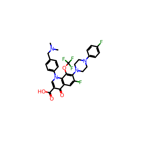 CN(C)Cc1ccc(-n2cc(C(=O)O)c(=O)c3cc(F)c(N4CCN(c5ccc(F)cc5)CC4)c(OC(F)(F)F)c32)cc1